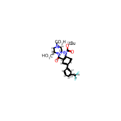 CC(C)(C)OC(=O)Nc1ccc(-c2cccc(C(F)F)c2)cc1C(=O)N1CCN(C(=O)O)C[C@H]1C(=O)O